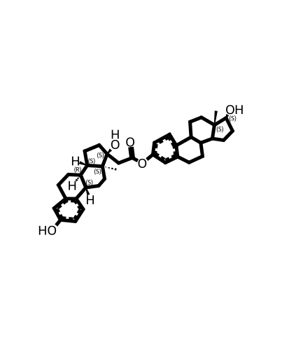 C[C@]12CCC3c4ccc(OC(=O)C[C@@]5(O)CC[C@H]6[C@@H]7CCc8cc(O)ccc8[C@H]7CC[C@@]65C)cc4CCC3C1CC[C@@H]2O